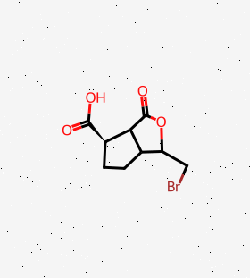 O=C1OC(CBr)C2CC[C@@H](C(=O)O)C12